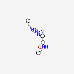 O=C(Cc1ccccc1)Nc1ccc(-c2ccc3ncc(N4CCN(CCCc5ccccc5)CC4)nc3c2)cc1